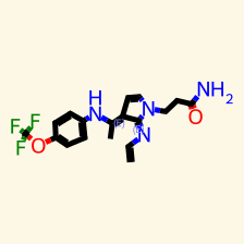 C=C/N=C1\C(=C(/C)Nc2ccc(OC(F)(F)F)cc2)C=CN1CCC(N)=O